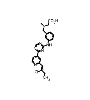 CN(CC(=O)O)Cc1cccc(Nc2ncnc(-c3ccnc(/C=C(\Cl)CN)c3)n2)c1